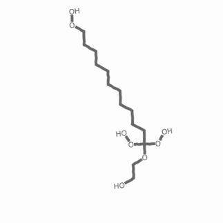 OCCOC(CCCCCCCCCCCOO)(OO)OO